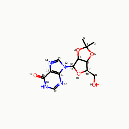 CC1(C)OC2C(O1)[C@@H](CO)O[C@H]2n1cnc2c(=O)[nH]cnc21